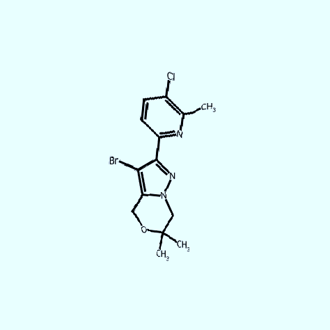 Cc1nc(-c2nn3c(c2Br)COC(C)(C)C3)ccc1Cl